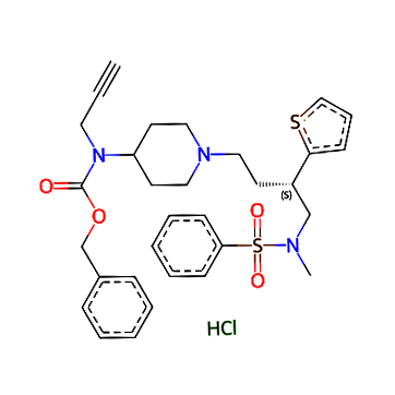 C#CCN(C(=O)OCc1ccccc1)C1CCN(CC[C@@H](CN(C)S(=O)(=O)c2ccccc2)c2cccs2)CC1.Cl